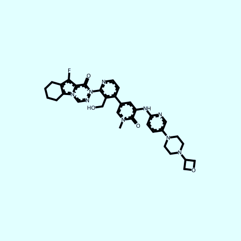 Cn1cc(-c2ccnc(-n3ncn4c5c(c(F)c4c3=O)CCCC5)c2CO)cc(Nc2ccc(N3CCN(C4COC4)CC3)cn2)c1=O